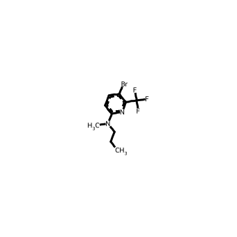 CCCN(C)c1ccc(Br)c(C(F)(F)F)n1